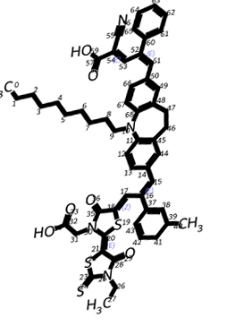 CCCCCCCCCCN1c2ccc(/C=C(\C=c3/s/c(=C4/SC(=S)N(CC)C4=O)n(CC(=O)O)c3=O)C3=CC(C)CC=C3)cc2CCc2cc(/C=C(\C=C(/C#N)C(=O)O)c3ccccc3)ccc21